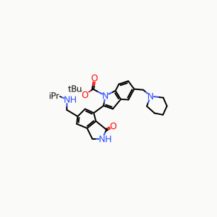 CC(C)NCc1cc2c(c(-c3cc4cc(CN5CCCCC5)ccc4n3C(=O)OC(C)(C)C)c1)C(=O)NC2